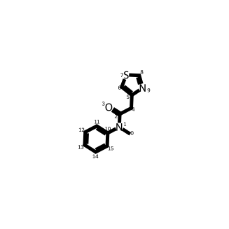 CN(C(=O)Cc1cscn1)c1ccccc1